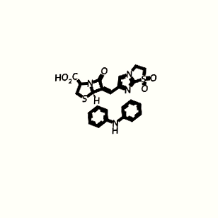 O=C(O)C1CS[C@@H]2C(=Cc3cn4c(n3)S(=O)(=O)CC4)C(=O)N12.c1ccc(Nc2ccccc2)cc1